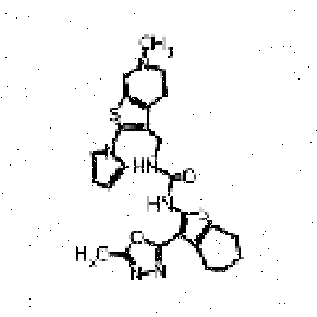 Cc1nnc(-c2c(NC(=O)NCc3c(-n4cccc4)sc4c3CCN(C)C4)sc3c2CCCC3)o1